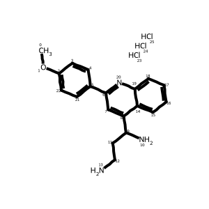 COc1ccc(-c2cc(C(N)CCN)c3ccccc3n2)cc1.Cl.Cl.Cl